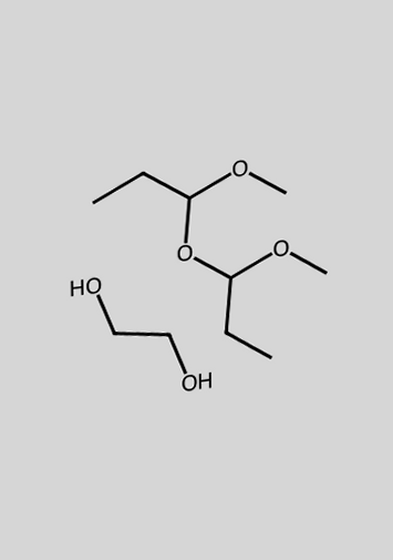 CCC(OC)OC(CC)OC.OCCO